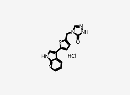 Cl.O=c1[nH]ncn1Cc1ccc(-c2c[nH]c3ncccc23)s1